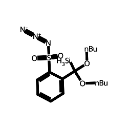 CCCCOC([SiH3])(OCCCC)c1ccccc1S(=O)(=O)N=[N+]=[N-]